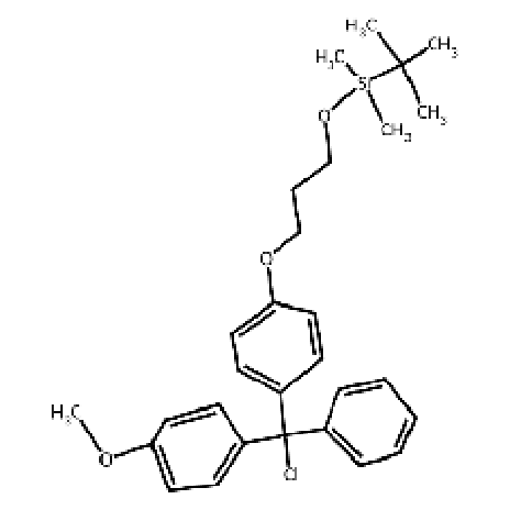 COc1ccc(C(Cl)(c2ccccc2)c2ccc(OCCCO[Si](C)(C)C(C)(C)C)cc2)cc1